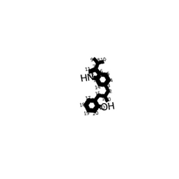 CC(Cc1ccc2c(C(C)C)c[nH]c2c1)Cc1ccccc1O